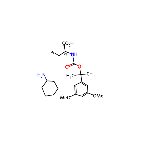 COc1cc(OC)cc(C(C)(C)OC(=O)N[C@@H](CC(C)C)C(=O)O)c1.NC1CCCCC1